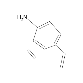 C=C.C=Cc1ccc(N)cc1